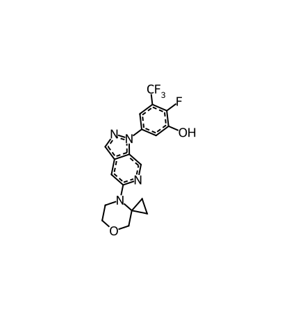 Oc1cc(-n2ncc3cc(N4CCOCC45CC5)ncc32)cc(C(F)(F)F)c1F